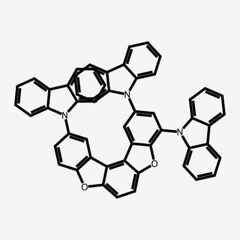 c1ccc2c(c1)c1ccccc1n2-c1ccc2oc3ccc4oc5c(-n6c7ccccc7c7ccccc76)cc(-n6c7ccccc7c7ccccc76)cc5c4c3c2c1